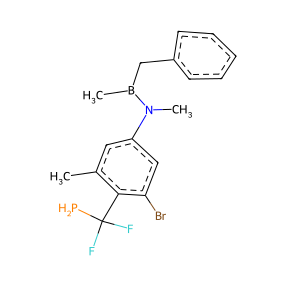 CB(Cc1ccccc1)N(C)c1cc(C)c(C(F)(F)P)c(Br)c1